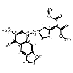 CC(C)OC(=O)C(C(=O)OC(C)C)=C1SCCS1.CCn1cc(C(=O)O)c(=O)c2cc3c(cc21)OCO3